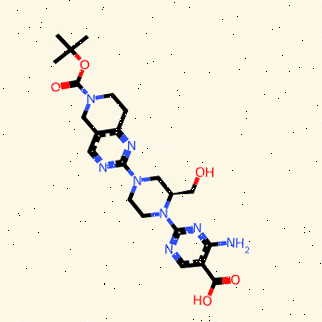 CC(C)(C)OC(=O)N1CCc2nc(N3CCN(c4ncc(C(=O)O)c(N)n4)[C@H](CO)C3)ncc2C1